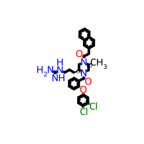 C[C@@H]1CN(C(=O)c2ccccc2Oc2ccc(Cl)c(Cl)c2)[C@@H](CCCNC(=N)N)CN1C(=O)Cc1ccc2ccccc2c1